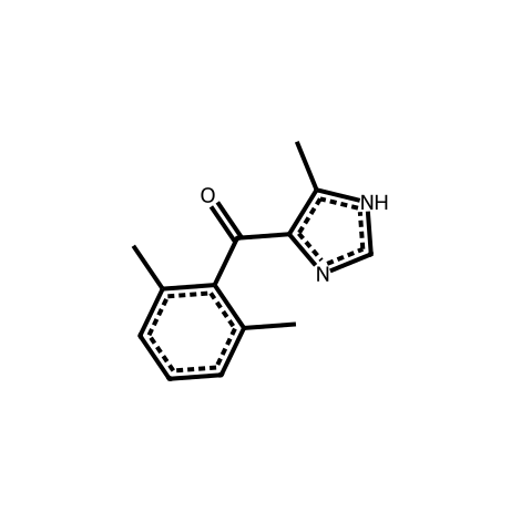 Cc1cccc(C)c1C(=O)c1nc[nH]c1C